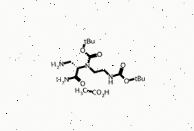 CC(=O)O.CC(C)(C)OC(=O)NCCN(C(=O)OC(C)(C)C)[C@@H](CN)C(N)=O